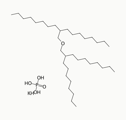 CCCCCCCCC(CCCCCCCC)COCC(CCCCCCCC)CCCCCCCC.O=P(O)(O)O.[KH]